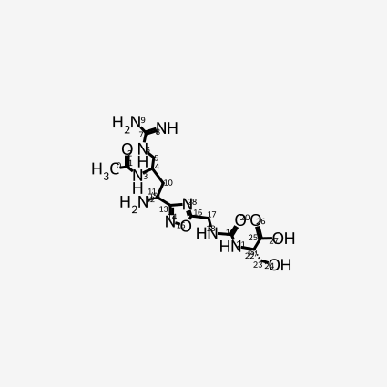 CC(=O)NC(CNC(=N)N)C[C@H](N)c1noc(CNC(=O)N[C@@H](CO)C(=O)O)n1